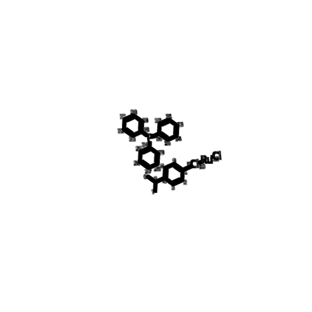 Cc1ccc(C(C)C)cc1.[Cl][Ru][Cl].c1ccc(P(c2ccccc2)c2ccccc2)cc1